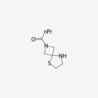 CCCC(=O)N1CC2(C1)NCCS2